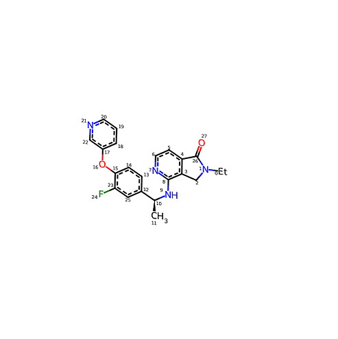 CCN1Cc2c(ccnc2N[C@@H](C)c2ccc(Oc3cccnc3)c(F)c2)C1=O